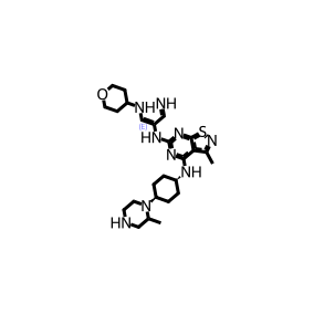 Cc1nsc2nc(N/C(C=N)=C/NC3CCOCC3)nc(N[C@H]3CC[C@H](N4CCNCC4C)CC3)c12